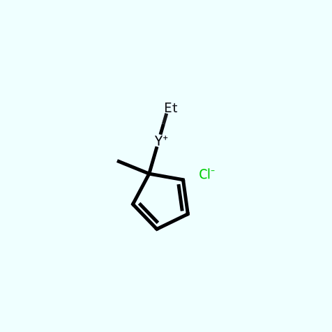 C[CH2][Y+][C]1(C)C=CC=C1.[Cl-]